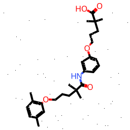 Cc1ccc(C)c(OCCCC(C)(C)C(=O)Nc2cccc(OCCCC(C)(C)C(=O)O)c2)c1